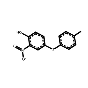 Cc1ccc(Sc2ccc(O)c([N+](=O)[O-])c2)cc1